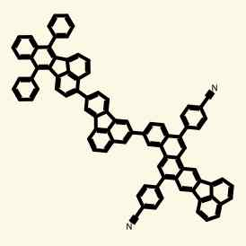 N#Cc1ccc(-c2cc3c4cc5c(cc4c(-c4ccc(C#N)cc4)cc3c3cc(-c4cc6c7c(cccc7c4)-c4cc(-c7ccc8c9c(cccc79)-c7c-8c(-c8ccccc8)c8ccccc8c7-c7ccccc7)ccc4-6)ccc23)-c2cccc3cccc-5c23)cc1